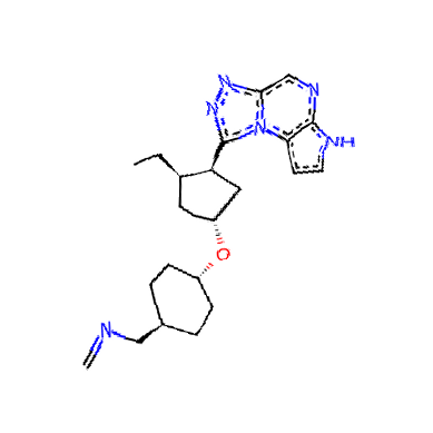 C=NC[C@H]1CC[C@H](O[C@@H]2C[C@@H](CC)[C@@H](c3nnc4cnc5[nH]ccc5n34)C2)CC1